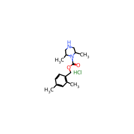 Cc1ccc(COC(=O)N2C(C)CNCC2C)c(C)c1.Cl